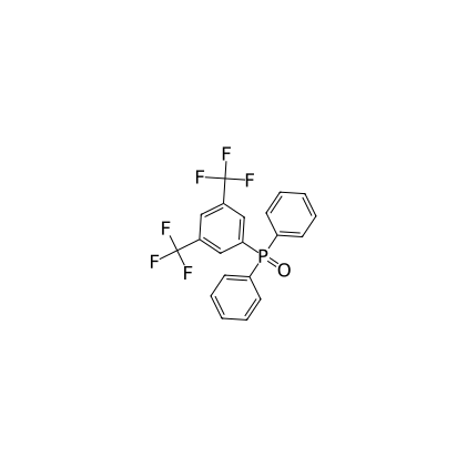 O=P(c1ccccc1)(c1ccccc1)c1cc(C(F)(F)F)cc(C(F)(F)F)c1